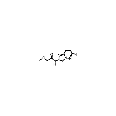 COCC(=O)NC1CN2N=C(I)C=CC2=N1